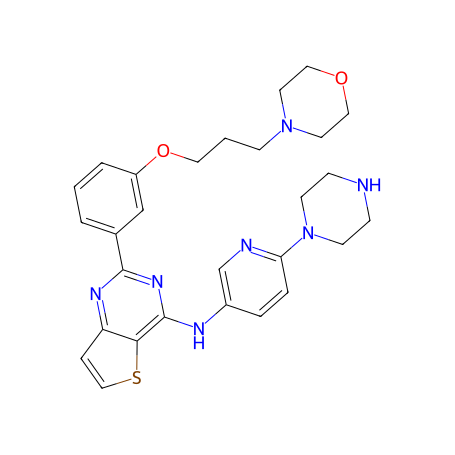 c1cc(OCCCN2CCOCC2)cc(-c2nc(Nc3ccc(N4CCNCC4)nc3)c3sccc3n2)c1